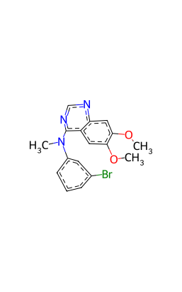 COc1cc2ncnc(N(C)c3cccc(Br)c3)c2cc1OC